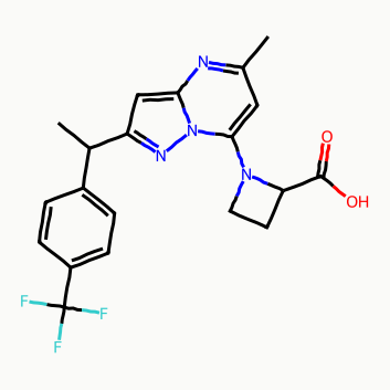 Cc1cc(N2CCC2C(=O)O)n2nc(C(C)c3ccc(C(F)(F)F)cc3)cc2n1